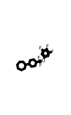 Fc1cc(OC(F)(F)C2CCC(C3CCCCCC3)CC2)cc(F)c1F